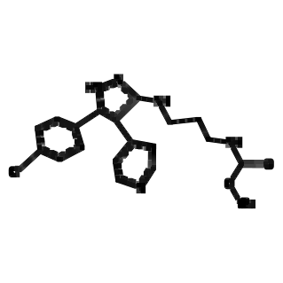 CC(C)(C)OC(=O)NCCCNc1n[nH]c(-c2ccc(Cl)cc2)c1-c1ccncc1